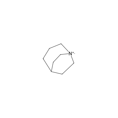 C1CC2CC[N+](C1)CC2